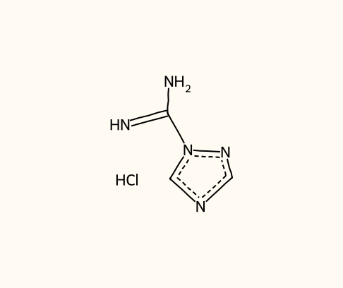 Cl.N=C(N)n1cncn1